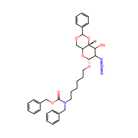 [N-]=[N+]=NC1C(O)[C@H]2OC(c3ccccc3)OCC2O[C@H]1OCCCCCCN(Cc1ccccc1)C(=O)OCc1ccccc1